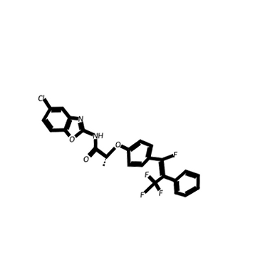 C[C@@H](Oc1ccc(C(F)=C(c2ccccc2)C(F)(F)F)cc1)C(=O)Nc1nc2cc(Cl)ccc2o1